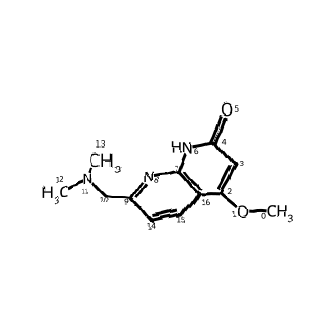 COc1cc(=O)[nH]c2nc(CN(C)C)ccc12